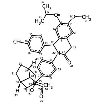 COc1cc2c(cc1OC(C)C)[C@H](c1ccc(Cl)cc1)N(c1ccc(C(C)(O)C3[C@@H]4CC[C@H]3CN(C=O)C4)cc1)C(=O)C2